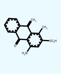 C=C1c2ccccc2C(=O)c2c(N)cc(S(=O)(=O)O)c(C)c21